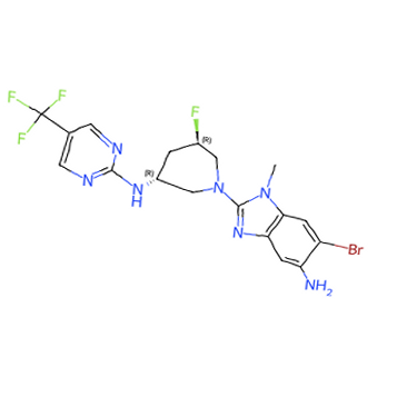 Cn1c(N2C[C@H](F)C[C@@H](Nc3ncc(C(F)(F)F)cn3)C2)nc2cc(N)c(Br)cc21